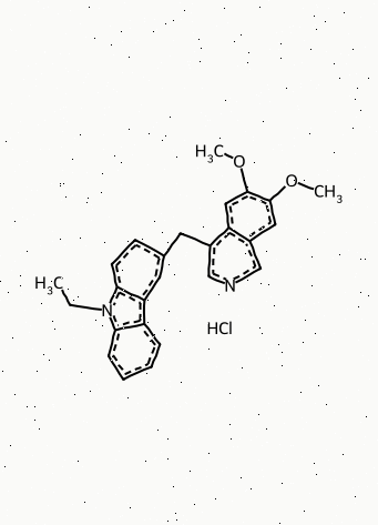 CCn1c2ccccc2c2cc(Cc3cncc4cc(OC)c(OC)cc34)ccc21.Cl